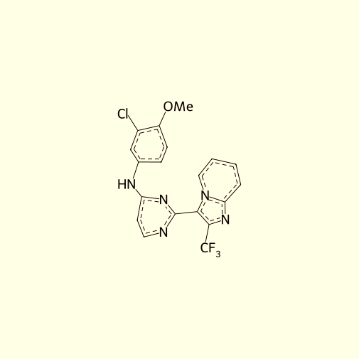 COc1ccc(Nc2ccnc(-c3c(C(F)(F)F)nc4ccccn34)n2)cc1Cl